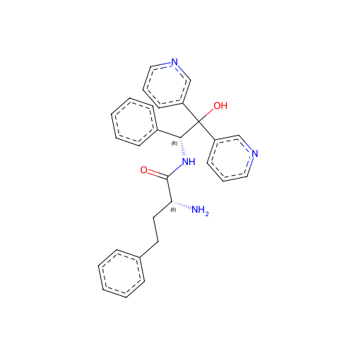 N[C@H](CCc1ccccc1)C(=O)N[C@H](c1ccccc1)C(O)(c1cccnc1)c1cccnc1